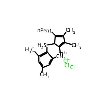 CCCCCC1=C(C)C(C)=[C]([Ti+3])C1[SiH2]c1c(C)cc(C)cc1C.[Cl-].[Cl-].[Cl-]